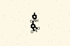 Cc1ccc(NC(=O)c2ccc3c(c2)C(=O)N(C)C3=O)cc1